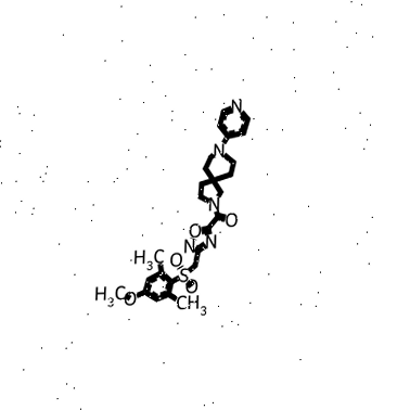 COc1cc(C)c(S(=O)(=O)Cc2noc(C(=O)N3CCC4(CCN(c5ccncc5)CC4)C3)n2)c(C)c1